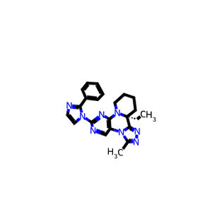 CC[C@@]12CCCCN1c1nc(-n3ccnc3-c3ccccc3)ncc1-n1c(C)nnc12